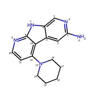 Nc1cc2c(cn1)[nH]c1nccc(N3CCCCC3)c12